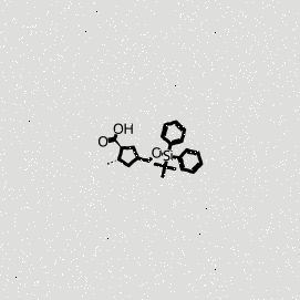 C[C@H]1CC(CO[Si](c2ccccc2)(c2ccccc2)C(C)(C)C)C[C@@H]1C(=O)O